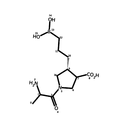 CC(N)C(=O)N1CC(C(=O)O)[C@@H](CCCB(O)O)C1